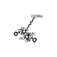 COC(=O)CCCCCCCCO[C@@H]1O[C@@H]2COC(c3ccccc3)O[C@H]2[C@H](O[C@@H]2O[C@@H]3COC(c4ccccc4)O[C@@H]3[C@H](O)[C@H]2O)[C@H]1NC(C)=O